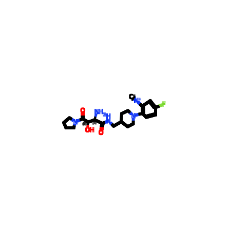 [C-]#[N+]c1cc(F)ccc1N1CCC(CNC(=O)[C@H](N)[C@@H](O)C(=O)N2CCCC2)CC1